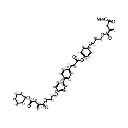 C=C(CC(=O)OC)C(=O)OCCCOc1ccc(OC(=O)/C=C/c2ccc(-c3ccc(OCCOC(=O)C(=C)CC(=O)OC4CCCCC4)cc3)cc2)cc1